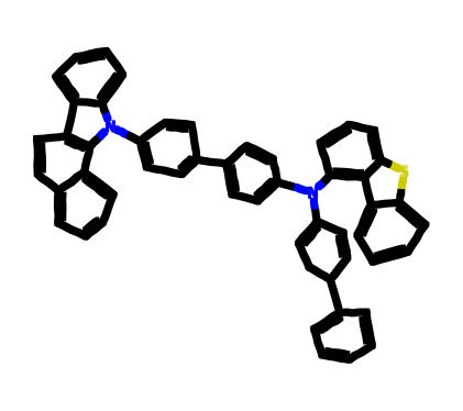 C1=CC(c2ccccc2)CC=C1N(c1ccc(-c2ccc(-n3c4ccccc4c4ccc5ccccc5c43)cc2)cc1)c1cccc2sc3ccccc3c12